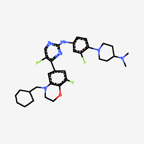 CN(C)C1CCN(c2ccc(Nc3ncc(F)c(-c4cc(F)c5c(c4)N(CC4CCCCC4)CCO5)n3)cc2F)CC1